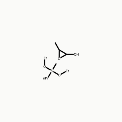 CC1OC1O.CCC[Si](C)(OCC)OCC